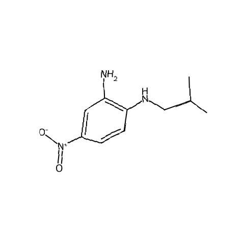 CC(C)CNc1ccc([N+](=O)[O-])cc1N